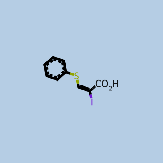 O=C(O)/C(I)=C\Sc1ccccc1